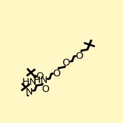 CN(CC(NC(=O)C(C)(C)C)C(=O)NCCOCCOCCOCCC(C)(C)C)C(C)(C)C